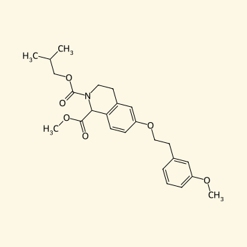 COC(=O)C1c2ccc(OCCc3cccc(OC)c3)cc2CCN1C(=O)OCC(C)C